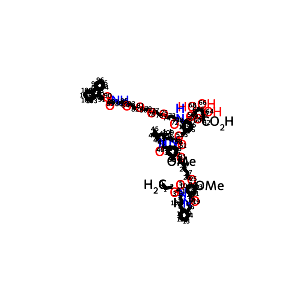 C=CCOC(=O)N1C[C@@H]2Cc3ccccc3CN2C(=O)c2cc(OC)c(OCCCCCOc3cc4c(cc3OC)C(=O)N3CC5(CC5)C[C@H]3CN4C(=O)OCc3ccc(O[C@@H]4O[C@H](C(=O)O)[C@@H](O)[C@H](O)[C@H]4O)c(NC(=O)CCOCCOCCOCCOCCNC(=O)OCC4c5ccccc5-c5ccccc54)c3)cc21